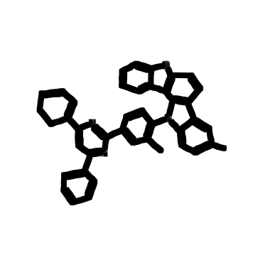 Cc1ccc2c(c1)c1ccc3oc4ccccc4c3c1n2-c1ccc(-c2nc(C3=CC=CCC3)cc(-c3ccccc3)n2)cc1C